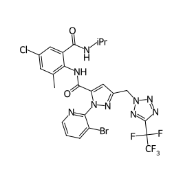 Cc1cc(Cl)cc(C(=O)NC(C)C)c1NC(=O)c1cc(Cn2nnc(C(F)(F)C(F)(F)F)n2)nn1-c1ncccc1Br